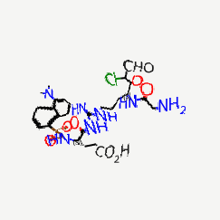 CN(C)c1cccc2c(S(=O)(=O)N[C@@H](CCC(=O)O)C(=O)NC(=N)NCCC[C@H](NC(=O)CN)C(=O)C(Cl)C=O)cccc12